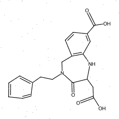 O=C(O)CC1Nc2cc(C(=O)O)ccc2CN(CCc2ccccc2)C1=O